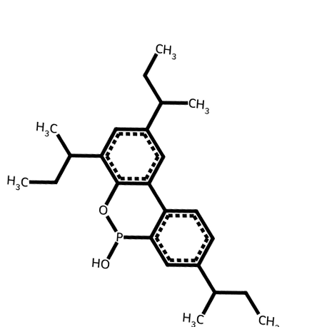 CCC(C)c1cc2c(c(C(C)CC)c1)OP(O)c1cc(C(C)CC)ccc1-2